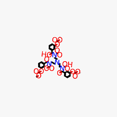 COC(=O)Oc1cccc2c1OC(O)N(CCN(CCN1C(=O)Oc3c(OC(=O)OC)cccc3C1O)CCn1c(=O)oc3c(OC(=O)OC)cccc3c1=O)C2=O